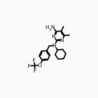 Cc1nc(N(Cc2ccc(OC(F)(F)F)cc2)C2CCCCC2)nc(N)c1C